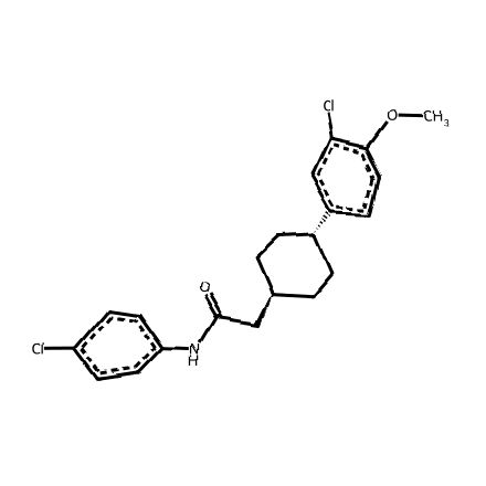 COc1ccc([C@H]2CC[C@H](CC(=O)Nc3ccc(Cl)cc3)CC2)cc1Cl